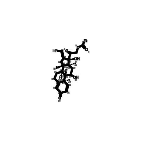 CCC(=O)OCC(=O)[C@@]1(O)C(=CF)C[C@H]2[C@@H]3CCC4=CC(=O)C=C[C@]4(C)[C@@]3(F)C(O)C[C@@]21C